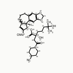 COC1=C[C@]23CCCN2CCc2cc4c(cc2[C@@H]3[C@@H]1OC(=O)[C@@](O)(CCCC(C)(C)O)CC(=O)N1CCC(C#N)CC1)OCO4